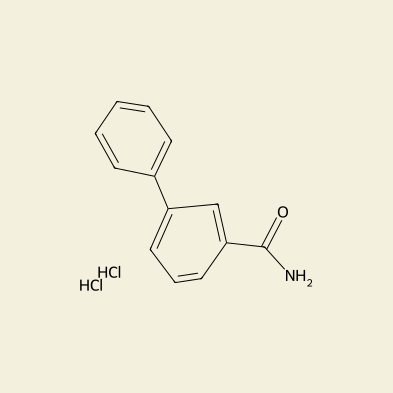 Cl.Cl.NC(=O)c1cccc(-c2ccccc2)c1